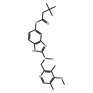 COc1c(C)cnc(C[S+]([O-])c2nc3cc(OC(=O)CC(C)(C)C)ccc3[nH]2)c1C